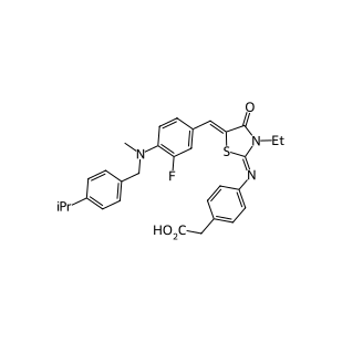 CCN1C(=O)C(=Cc2ccc(N(C)Cc3ccc(C(C)C)cc3)c(F)c2)SC1=Nc1ccc(CC(=O)O)cc1